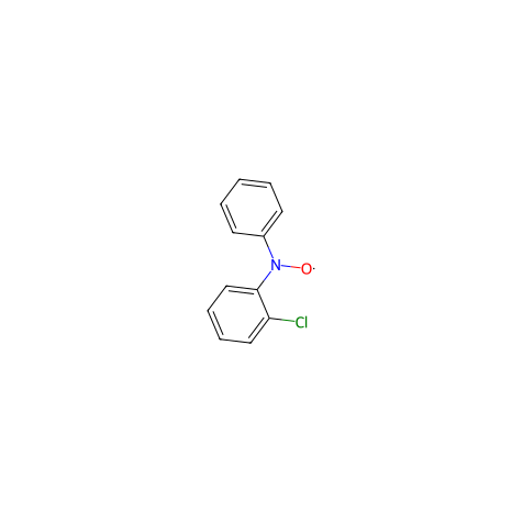 [O]N(c1ccccc1)c1ccccc1Cl